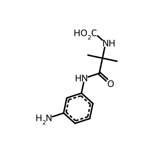 CC(C)(NC(=O)O)C(=O)Nc1cccc(N)c1